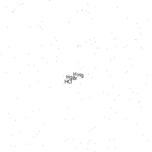 Br.Cl.[Hg].[Hg]